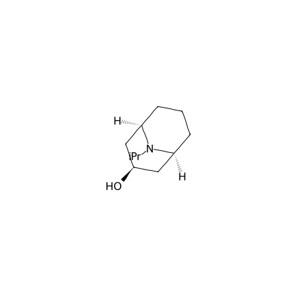 CC(C)N1[C@@H]2CCC[C@H]1C[C@@H](O)C2